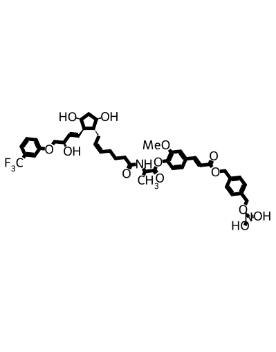 COc1cc(/C=C/C(=O)OCc2ccc(CON(O)O)cc2)ccc1OC(=O)C(C)NC(=O)CCC/C=C\C[C@@H]1[C@@H](/C=C/[C@@H](O)COc2cccc(C(F)(F)F)c2)[C@H](O)C[C@@H]1O